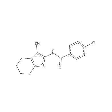 N#Cc1c(NC(=O)c2ccc(Cl)cc2)sc2c1CCCC2